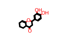 O=C1CC(c2ccc(O)c(O)c2)OC2=CCCCC12